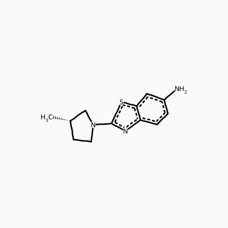 C[C@H]1CCN(c2nc3ccc(N)cc3s2)C1